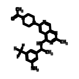 CC(=O)N1CCN(c2cc3c(NC(C)c4cc(N)cc(C(F)(F)F)c4)nc(C)nc3cn2)CC1